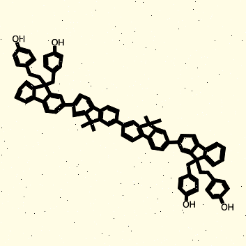 CC1(C)c2cc(-c3ccc4c(c3)C(C)(C)c3cc(-c5ccc6c(c5)C(CCc5ccc(O)cc5)(Cc5ccc(O)cc5)c5ccccc5-6)ccc3-4)ccc2-c2ccc(-c3ccc4c(c3)C(CCc3ccc(O)cc3)(Cc3ccc(O)cc3)c3ccccc3-4)cc21